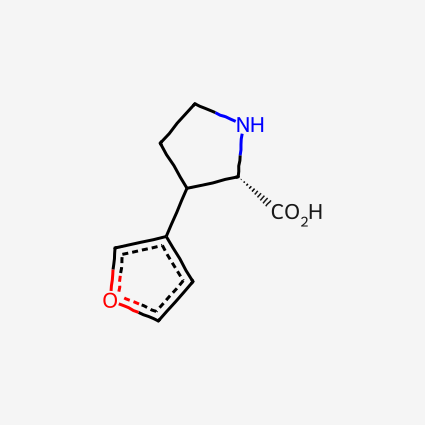 O=C(O)[C@H]1NCCC1c1ccoc1